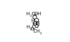 CC(=O)[C@H]1CC[C@H]2[C@@H]3CCC4C[C@](C)(O)CC[C@@H]4[C@H]3CC[C@]12C